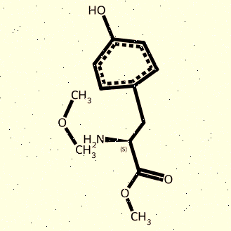 COC.COC(=O)[C@@H](N)Cc1ccc(O)cc1